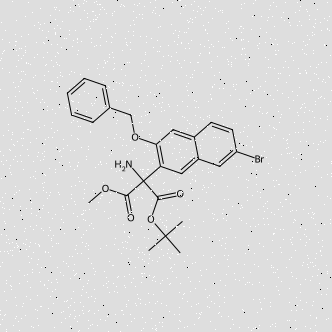 COC(=O)C(N)(C(=O)OC(C)(C)C)c1cc2cc(Br)ccc2cc1OCc1ccccc1